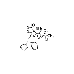 CC(C)(C)OC(=O)C(N)[C@](N)(C(=O)O)C(=O)OCC1c2ccccc2-c2ccccc21